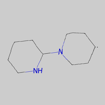 [CH]1CCN(C2CCCCN2)CC1